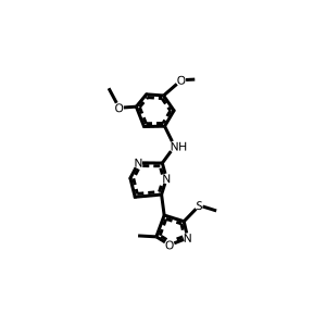 COc1cc(Nc2nccc(-c3c(SC)noc3C)n2)cc(OC)c1